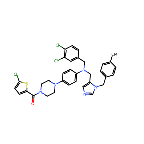 N#Cc1ccc(Cn2cncc2CN(Cc2ccc(Cl)c(Cl)c2)c2ccc(N3CCN(C(=O)c4ccc(Cl)s4)CC3)cc2)cc1